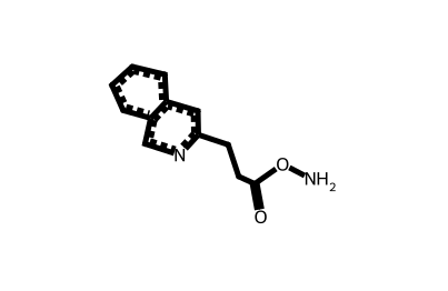 NOC(=O)CCc1cc2ccccc2cn1